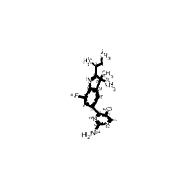 CC[C@H](C)C1=Nc2c(F)cc(-c3nc(N)ncc3Cl)cc2C1(C)C